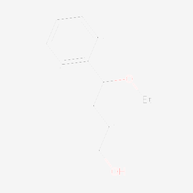 CCOC(CCCO)c1ccccc1